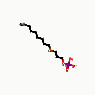 CCCCCCCCCCCCCCCCSCCCOP(=O)(O)O